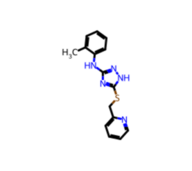 Cc1ccccc1Nc1n[nH]c(SCc2ccccn2)n1